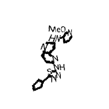 COc1ncccc1Nc1cnc2ccc(Nc3nnc(C4CCCC4)s3)nc2c1